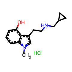 Cl.Cn1cc(CCNCC2CC2)c2c(O)cccc21